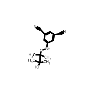 CC(C)(O)C(C)(C)OBc1cc(C#N)cc(C#N)c1